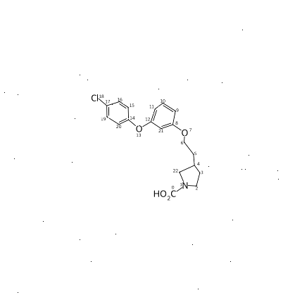 O=C(O)N1CCC(CCOc2cccc(Oc3ccc(Cl)cc3)c2)C1